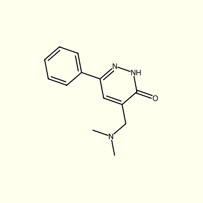 CN(C)Cc1cc(-c2ccccc2)n[nH]c1=O